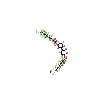 FC(F)(F)C(F)(F)C(F)(F)C(F)(F)C(F)(F)C(F)(F)C(F)(F)Oc1ccc(-c2ccc3c(c2)OC(C(F)(F)C(F)(F)C(F)(F)C(F)(F)C(F)(F)C(F)(F)C(F)(F)F)O3)cn1